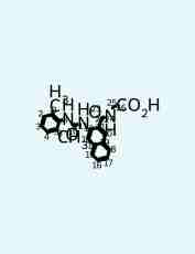 Cc1cccc(C)c1NC(=O)Nc1cc2ccccc2cc1C(=O)NCC(=O)O